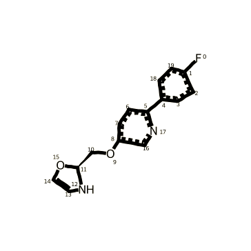 Fc1ccc(-c2ccc(OC[C@H]3NC=CO3)cn2)cc1